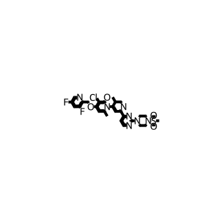 Cc1cc(OCc2ncc(F)cc2F)c(Cl)c(=O)n1C1=CC(c2ccnc(N3CCN(S(C)(=O)=O)CC3)n2)=NCC1C